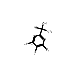 [2H]C(C)(O)c1cc(F)c(F)c(F)c1